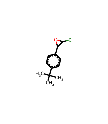 CC(C)(C)c1ccc(C2OC2Cl)cc1